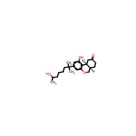 CC(O)CCCCC(C)(C)c1cc(O)c2c(c1)OC[C@H]1CCC(=O)C[C@@H]21